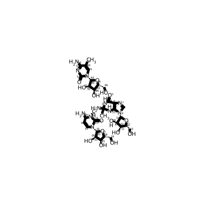 CC1(N)NC(=O)c2ncn([C@@H]3O[C@H](CO)[C@@H](O)[C@H]3O)c2N1.CN1C(=O)N([C@@H]2O[C@H](CO)[C@@H](O)[C@H]2O)C=CC1N.Cc1cn([C@@H]2O[C@H](CO)[C@@H](O)[C@H]2O)c(=O)nc1N